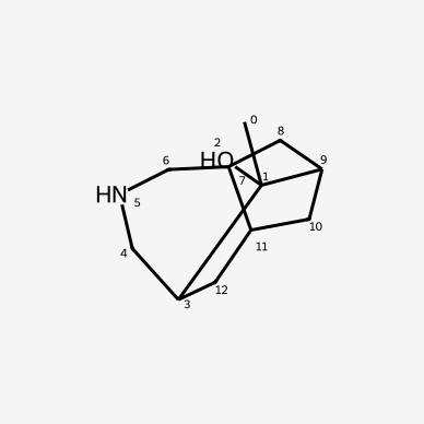 CC1(O)C2CNCC3CC1CC3C2